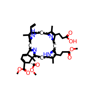 C=Cc1c(C)c2cc3nc(cc4[nH]c(cc5nc(cc1[nH]2)C(C)=C5CCC(=O)O)c(CCC(=O)OC)c4C)C1(C)C3=CC=C(C(=O)OC)[C@H]1C(=O)OC